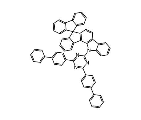 c1ccc(-c2ccc(-c3nc(-c4ccc(-c5ccccc5)cc4)nc(-n4c5ccccc5c5ccc6c(c54)-c4ccccc4C64c5ccccc5-c5ccccc54)n3)cc2)cc1